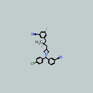 CC(F)(Cc1cc(F)cc(C#N)c1)CC1CN(C(c2ccc(Cl)cc2)c2cccc(C#N)c2)C1